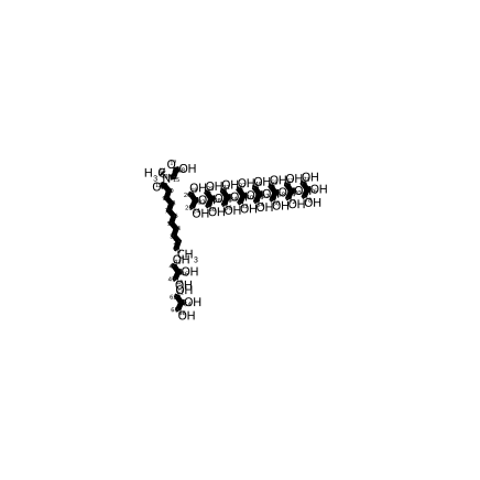 CCCCCCCCCCCC(=O)N(C)CC(=O)O.OCC(O)CO.OCC(O)CO.OCC(O)CO.OCC(O)CO.OCC(O)CO.OCC(O)CO.OCC(O)CO.OCC(O)CO.OCC(O)CO.OCC(O)CO